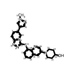 Cn1cc(-c2ccc3nnc(Sc4cccc5cc(N6CCC(O)CC6)cnc45)n3c2)cn1